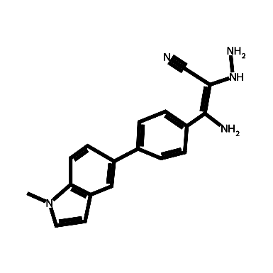 Cn1ccc2cc(-c3ccc(/C(N)=C(\C#N)NN)cc3)ccc21